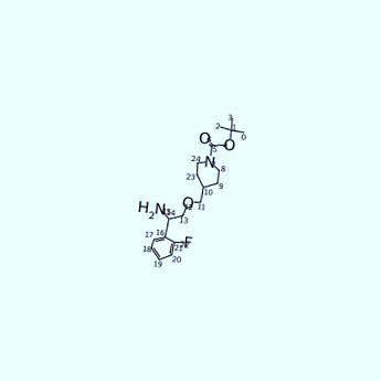 CC(C)(C)OC(=O)N1CCC(COCC(N)c2ccccc2F)CC1